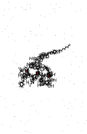 CCCCCCCCOc1ccc(CNCC(=O)N[C@@]2(C)C[C@H](OC3C(Oc4c5cc6cc4Oc4ccc(cc4Cl)[C@@H](O)[C@@H](NC(=O)[C@H](CC(C)C)NC(=O)OCc4ccccc4)C(=O)N[C@@H](CC(N)=O)C(=O)N[C@H]6C(=O)NC4C(=O)N[C@H](C(=O)N[C@H](C(=O)O)c6cc(O)cc(O)c6-c6cc4ccc6O)[C@H](O)c4ccc(c(Cl)c4)O5)O[C@H](CO)[C@@H](O)[C@@H]3O)O[C@@H](C)[C@H]2O)cc1